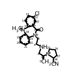 C=C(CNCCN1C(=O)c2cc(Cl)ccc2N(C)c2ccccc21)N1CCCC1C#N